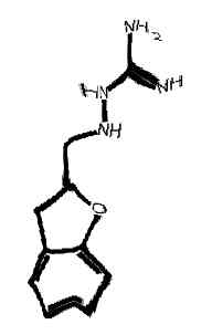 N=C(N)NNCC1Cc2ccccc2O1